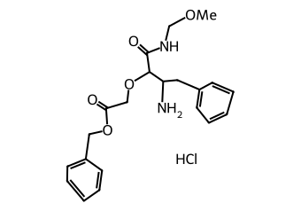 COCNC(=O)C(OCC(=O)OCc1ccccc1)C(N)Cc1ccccc1.Cl